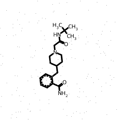 CC(C)(C)NC(=O)CN1CCC(Cc2ccccc2C(N)=O)CC1